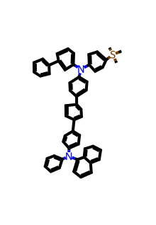 CS(C)(C)c1ccc(N(c2ccc(-c3ccc(-c4ccc(N(c5ccccc5)c5cccc6ccccc56)cc4)cc3)cc2)c2cccc(-c3ccccc3)c2)cc1